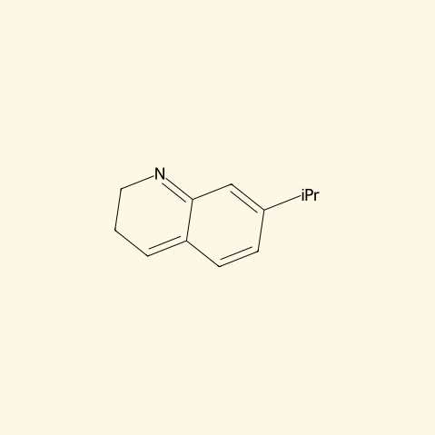 CC(C)c1ccc2c(c1)=NCCC=2